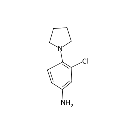 Nc1ccc(N2CCCC2)c(Cl)c1